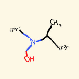 CC(C)C(C)N(O)C(C)C